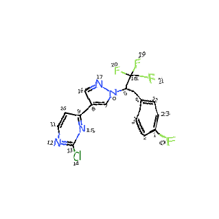 Fc1ccc(C(n2cc(-c3ccnc(Cl)n3)cn2)C(F)(F)F)cc1